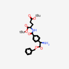 CC(C)(C)OC(=O)CCC(NC(=O)c1ccc(C(N)C(=O)OCc2ccccc2)cc1)C(=O)OC(C)(C)C